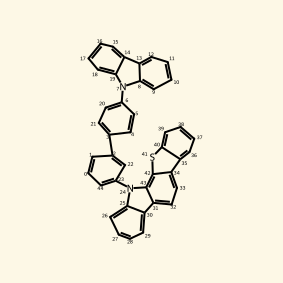 c1cc(-c2ccc(-n3c4ccccc4c4ccccc43)cc2)cc(-n2c3ccccc3c3ccc4c5ccccc5sc4c32)c1